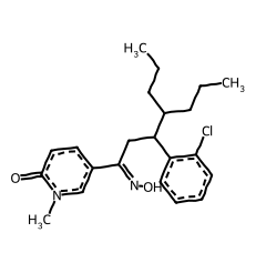 CCCC(CCC)C(C/C(=N\O)c1ccc(=O)n(C)c1)c1ccccc1Cl